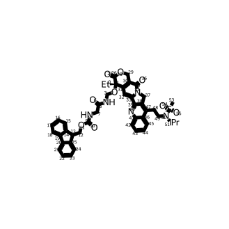 CC[C@@]1(OCNC(=O)CNC(=O)OCC2c3ccccc3-c3ccccc32)C(=O)OCc2c1cc1n(c2=O)Cc2c-1nc1ccccc1c2CCN(C(C)C)S(C)(=O)=O